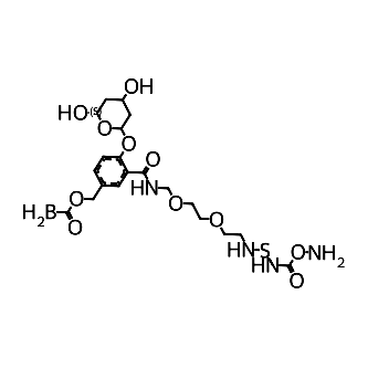 BC(=O)OCc1ccc(OC2CC(O)C[C@@H](O)O2)c(C(=O)NCOCCOCCNSNC(=O)ON)c1